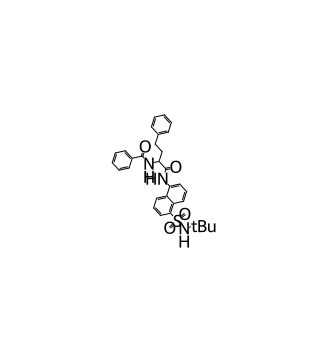 CC(C)(C)NS(=O)(=O)c1cccc2c(NC(=O)C(CCc3ccccc3)NC(=O)c3ccccc3)cccc12